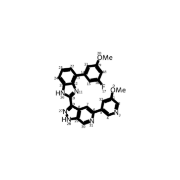 COc1cncc(-c2cc3c(-c4nc5c(-c6cc(F)cc(OC)c6)cccc5[nH]4)n[nH]c3cn2)c1